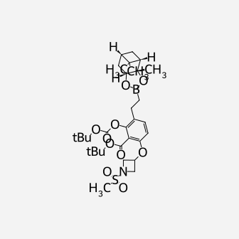 CC(C)(C)OC(=O)Oc1c(CCB2O[C@@H]3C[C@@H]4C[C@@H](C4(C)C)[C@]3(C)O2)ccc(OC2CN(S(C)(=O)=O)C2)c1C(=O)OC(C)(C)C